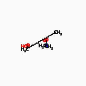 CCCCCCCCCC(CCCCCCC=CCCCCCCCCC(C)C(=O)O)OC(=O)CCCN(C)C